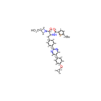 CC(C)(C)c1ccc(C(=O)N[C@@H](Cc2ccc(-c3ncc(-c4ccc(OC5CC5)cc4)cn3)cc2)C(=O)N2CC(C(=O)O)C2)s1